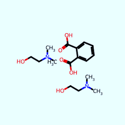 CN(C)CCO.CN(C)CCO.O=C(O)c1ccccc1C(=O)O